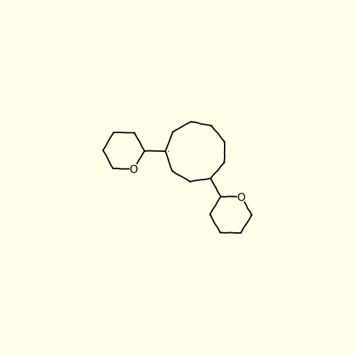 C1CC[C](C2CCCCO2)CCC(C2CCCCO2)CC1